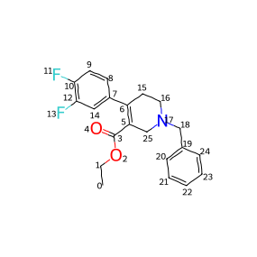 CCOC(=O)C1=C(c2ccc(F)c(F)c2)CCN(Cc2ccccc2)C1